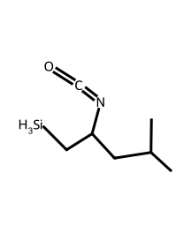 CC(C)CC(C[SiH3])N=C=O